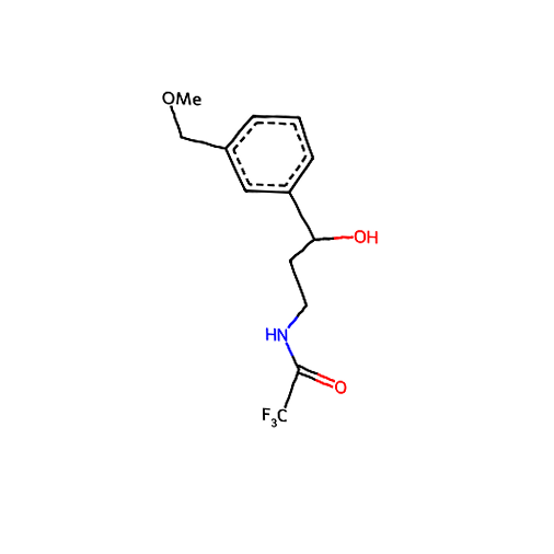 COCc1cccc(C(O)CCNC(=O)C(F)(F)F)c1